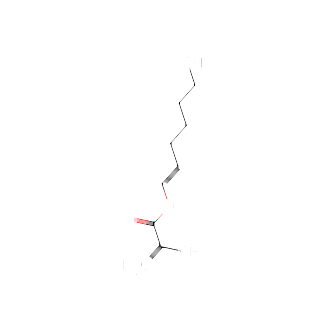 C=C(C)C(=O)OC=CCCCCC